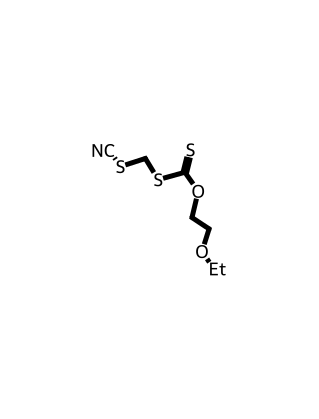 CCOCCOC(=S)SCSC#N